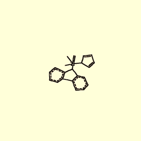 [CH2]=[Zr]([CH3])([CH3])([CH]1C=CC=C1)[CH]1c2ccccc2-c2ccccc21